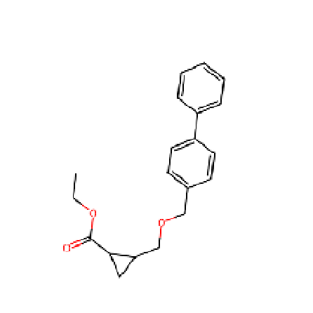 CCOC(=O)C1CC1COCc1ccc(-c2ccccc2)cc1